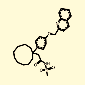 CS(=O)(=O)NC(=O)CC1(c2ccc(OCc3ccc4ccccc4n3)cc2)CCCCCCCCC1